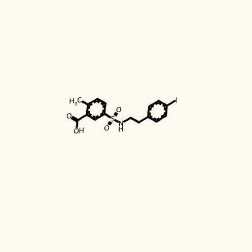 Cc1ccc(S(=O)(=O)NCCc2ccc(I)cc2)cc1C(=O)O